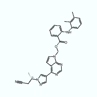 Cc1cccc(Nc2ccccc2C(=O)OCn2ccc3c(-c4cnn([C@@H](C)CC#N)c4)ncnc32)c1C